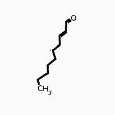 CCCCC[CH]C/C=C/C=O